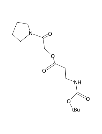 CC(C)(C)OC(=O)NCCC(=O)OCC(=O)N1CCCC1